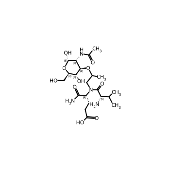 CC(=O)N[C@@H]1[C@@H](OC(C)CN(C(=O)[C@@H](N)C(C)C)[C@H](CCC(=O)O)C(N)=O)[C@H](O)[C@@H](CO)O[C@@H]1O